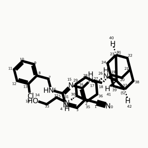 N#Cc1cnc(NCc2ccccc2Cl)nc1NC[C@@]12CC3C[C@H](C1)[C@@H](N[C@H]1CC[C@@H](NCCO)CC1)[C@@H](C3)C2